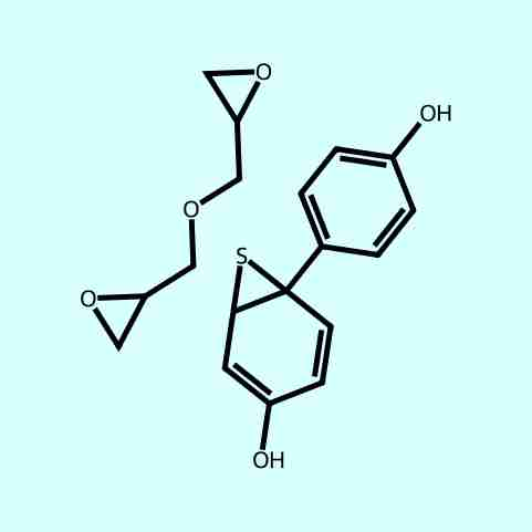 C(OCC1CO1)C1CO1.OC1=CC2SC2(c2ccc(O)cc2)C=C1